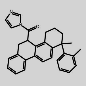 Cc1ccccc1C1(C)CCCc2c1ccc1c2C(C(=O)n2ccnc2)Cc2ccccc2-1